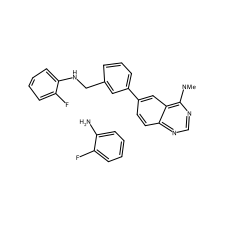 CNc1ncnc2ccc(-c3cccc(CNc4ccccc4F)c3)cc12.Nc1ccccc1F